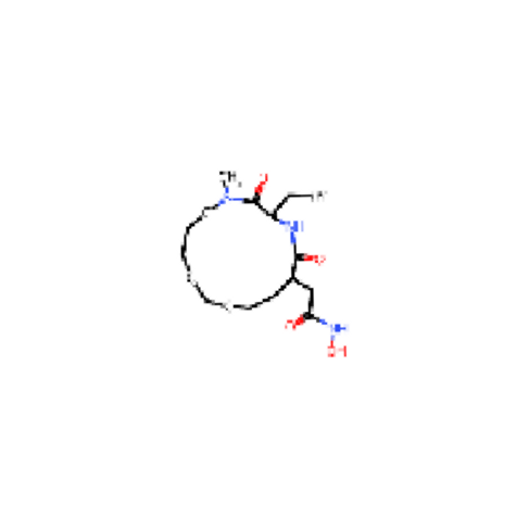 CC(C)CC1NC(=O)C(CC(=O)NO)CCCCCCCCN(C)C1=O